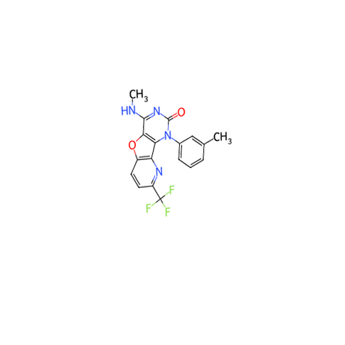 CNc1nc(=O)n(-c2cccc(C)c2)c2c1oc1ccc(C(F)(F)F)nc12